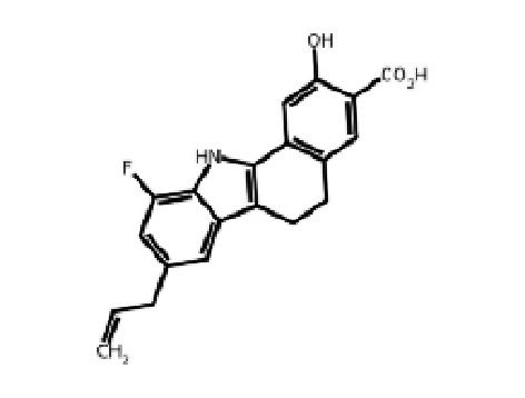 C=CCc1cc(F)c2[nH]c3c(c2c1)CCc1cc(C(=O)O)c(O)cc1-3